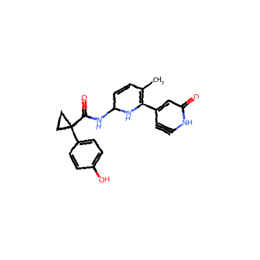 CC1=C(c2c#c[nH]c(=O)c2)NC(NC(=O)C2(c3ccc(O)cc3)CC2)C=C1